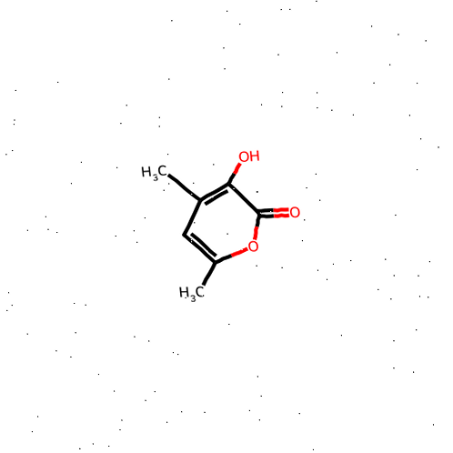 Cc1cc(C)c(O)c(=O)o1